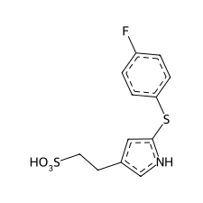 O=S(=O)(O)CCc1c[nH]c(Sc2ccc(F)cc2)c1